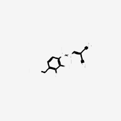 CCc1ccc(NNC=C(C#N)C#N)c(Cl)c1Cl